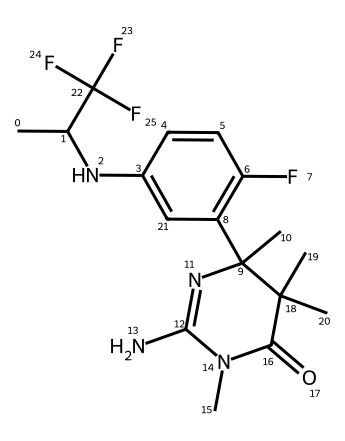 CC(Nc1ccc(F)c(C2(C)N=C(N)N(C)C(=O)C2(C)C)c1)C(F)(F)F